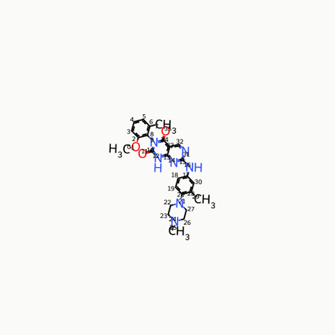 COc1cccc(C)c1-n1c(=O)[nH]c2nc(Nc3ccc(N4CCN(C)CC4)c(C)c3)ncc2c1=O